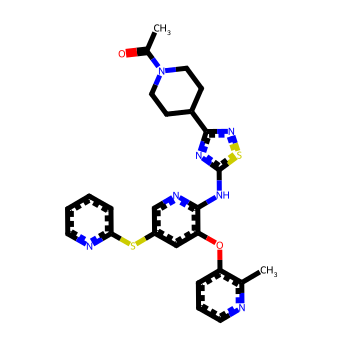 CC(=O)N1CCC(c2nsc(Nc3ncc(Sc4ccccn4)cc3Oc3cccnc3C)n2)CC1